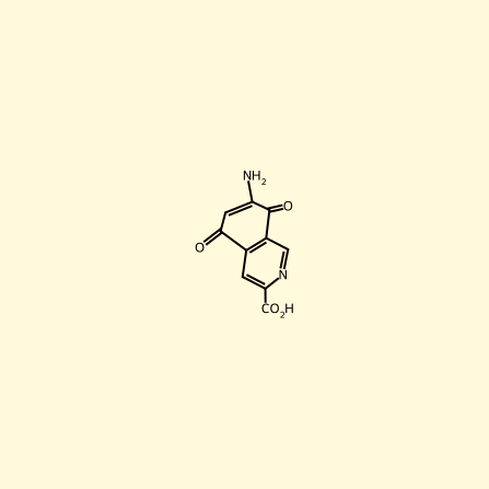 NC1=CC(=O)c2cc(C(=O)O)ncc2C1=O